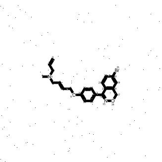 C=CCN(C)CC=CCOc1ccc(C2=NOCc3cc(Br)ccc32)cc1